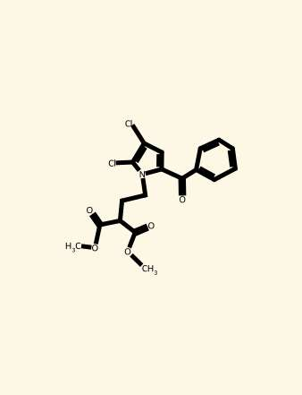 COC(=O)C(CCn1c(C(=O)c2ccccc2)cc(Cl)c1Cl)C(=O)OC